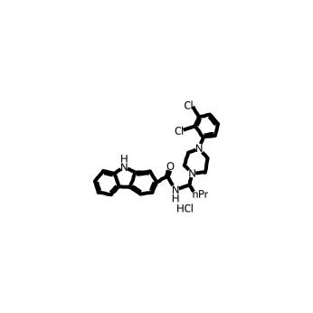 CCCC(NC(=O)c1ccc2c(c1)[nH]c1ccccc12)N1CCN(c2cccc(Cl)c2Cl)CC1.Cl